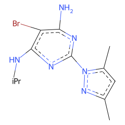 Cc1cc(C)n(-c2nc(N)c(Br)c(NC(C)C)n2)n1